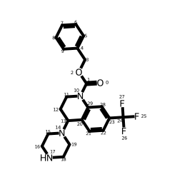 O=C(OCc1ccccc1)N1CCC(N2CCNCC2)c2ccc(C(F)(F)F)cc21